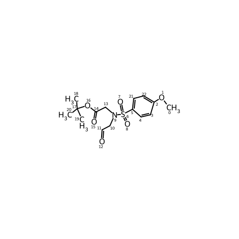 COc1ccc(S(=O)(=O)N(CC=O)CC(=O)OC(C)(C)C)cc1